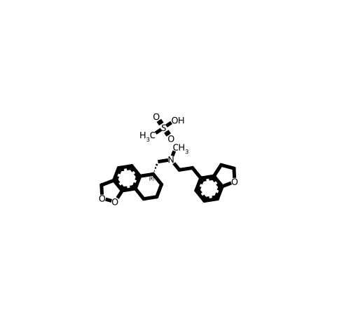 CN(CCc1cccc2c1CCO2)C[C@@H]1CCCc2c1ccc1c2OOC1.CS(=O)(=O)O